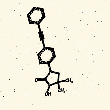 CC1(C)CN(c2ccc(C#Cc3ccccc3)cn2)C(=O)C1O